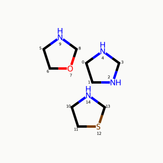 C1CNCN1.C1COCN1.C1CSCN1